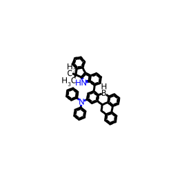 CC1(C)c2ccccc2-c2c1[nH]c1c(-c3cc(N(c4ccccc4)c4ccccc4)cc4c3Bc3cccc5c3C4Cc3ccccc3-5)cccc21